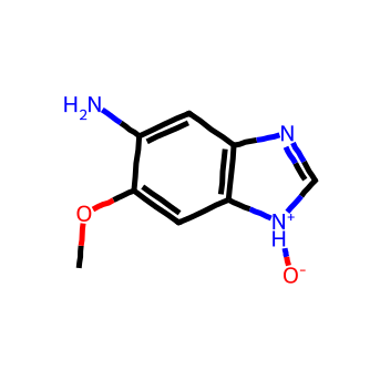 COc1cc2c(cc1N)N=C[NH+]2[O-]